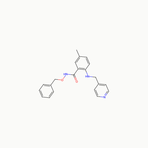 Cc1ccc(NCc2ccncc2)c(C(=O)NOCc2ccccc2)c1